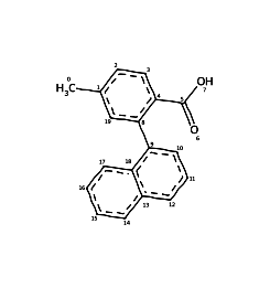 Cc1ccc(C(=O)O)c(-c2cccc3ccccc23)c1